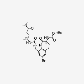 C[C@H](CCC(=O)N(C)C)NC(=O)[C@@H]1Cc2cc(Br)cc3c2N1C(=O)[C@@H](NC(=O)OC(C)(C)C)CC3